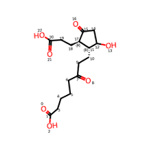 O=C(O)CCCCC(=O)CC[C@H]1C(O)CC(=O)[C@@H]1CCC(=O)O